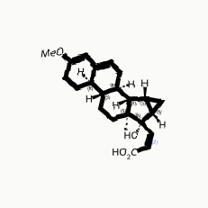 COC1=CC2=CC[C@@H]3[C@H](CC[C@@]4(C)[C@H]3[C@@H]3C[C@@H]3[C@@]4(O)/C=C\C(=O)O)[C@H]2CC1